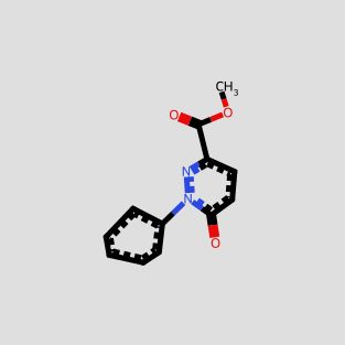 COC(=O)c1ccc(=O)n(-c2ccccc2)n1